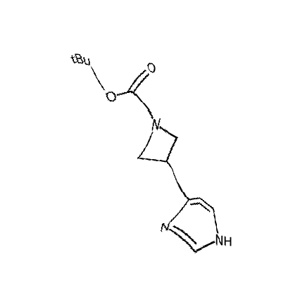 CC(C)(C)OC(=O)N1CC(c2c[nH]cn2)C1